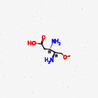 COC[C@@H](N)[C@@H](N)CC(=O)O